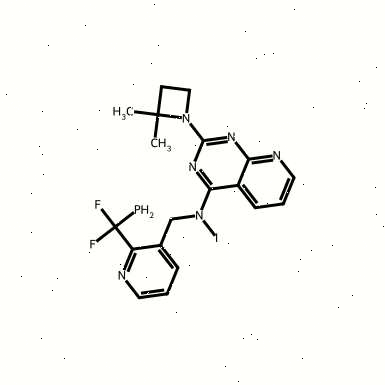 CC1(C)CCN1c1nc(N(I)Cc2cccnc2C(F)(F)P)c2cccnc2n1